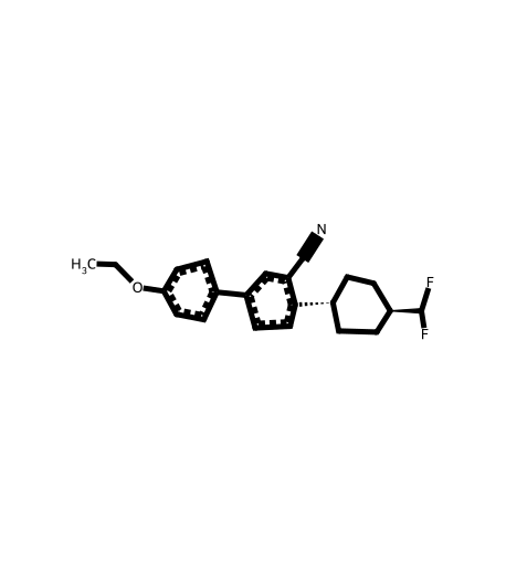 CCOc1ccc(-c2ccc([C@H]3CC[C@H](C(F)F)CC3)c(C#N)c2)cc1